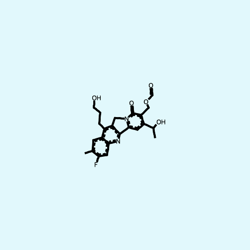 Cc1cc2c(CCCO)c3c(nc2cc1F)-c1cc(C(C)O)c(COC=O)c(=O)n1C3